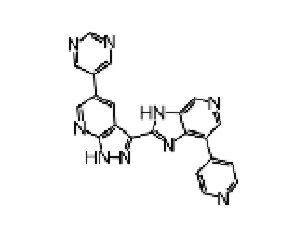 c1cc(-c2cncc3[nH]c(-c4n[nH]c5ncc(-c6cncnc6)cc45)nc23)ccn1